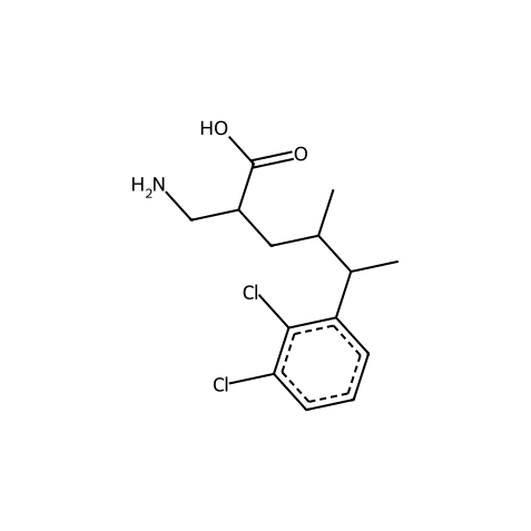 CC(CC(CN)C(=O)O)C(C)c1cccc(Cl)c1Cl